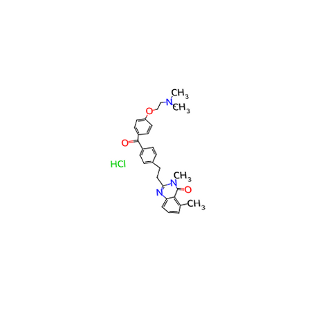 Cc1cccc2nc(CCc3ccc(C(=O)c4ccc(OCCN(C)C)cc4)cc3)n(C)c(=O)c12.Cl